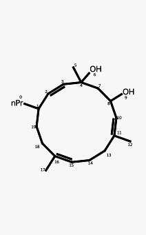 CCCC1C=CC(C)(O)CC(O)C=C(C)CCC=C(C)CC1